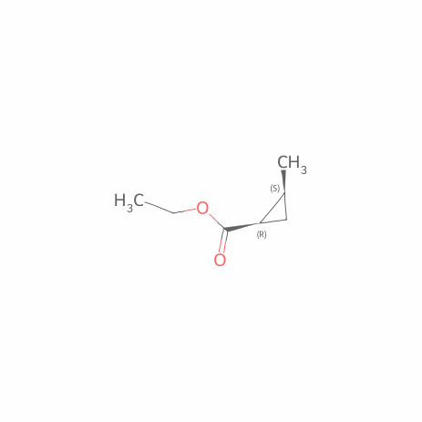 CCOC(=O)[C@@H]1C[C@@H]1C